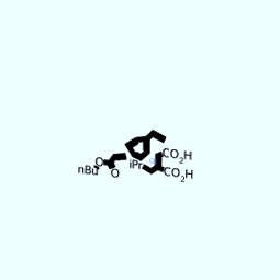 C=CC(=O)OCCCC.C=Cc1ccccc1.CC(C)C/C(=C/C(=O)O)C(=O)O